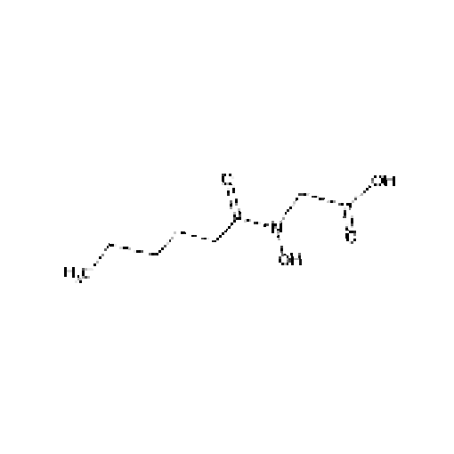 CCCCCC(=O)N(O)CC(=O)O